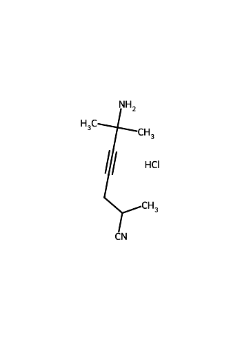 CC(C#N)CC#CC(C)(C)N.Cl